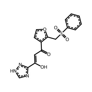 O=C(C=C(O)c1nc[nH]n1)c1ccoc1CS(=O)(=O)c1ccccc1